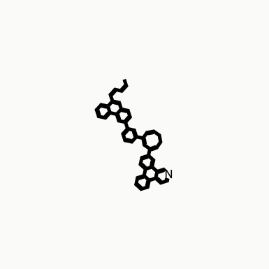 C/C=C\C=C/c1cc2ccc(-c3cccc(C4=C/C(c5ccc6c7ccccc7c7ccncc7c6c5)=C\CC/C=C\4)c3)cc2c2ccccc12